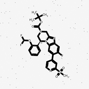 CC(C)(C)OC(=O)N1Cc2nc3cc(F)c(-c4ccnc(S(C)(=O)=O)c4)cc3n2[C@@H](c2ccccc2OC(F)F)C1